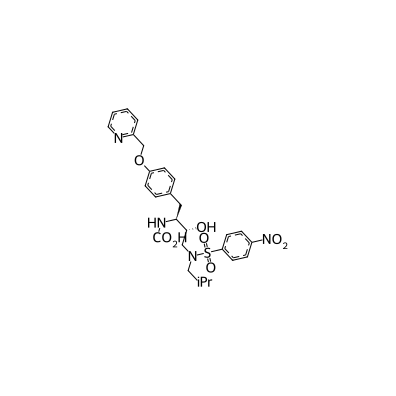 CC(C)CN(C[C@@H](O)[C@H](Cc1ccc(OCc2ccccn2)cc1)NC(=O)O)S(=O)(=O)c1ccc([N+](=O)[O-])cc1